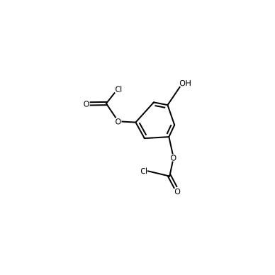 O=C(Cl)Oc1cc(O)cc(OC(=O)Cl)c1